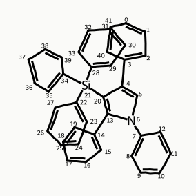 c1ccc(-c2cn(-c3ccccc3)c(-c3ccccc3)c2[Si](c2ccccc2)(c2ccccc2)c2ccccc2)cc1